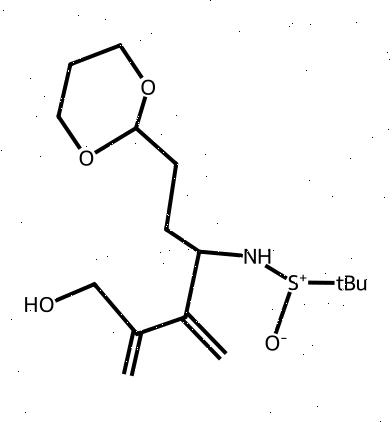 C=C(CO)C(=C)C(CCC1OCCCO1)N[S+]([O-])C(C)(C)C